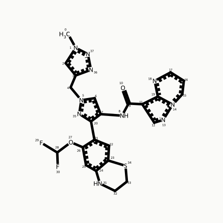 Cn1cc(Cn2cc(NC(=O)c3cnn4cccnc34)c(-c3cc4c(cc3OC(F)F)NCCS4)n2)nn1